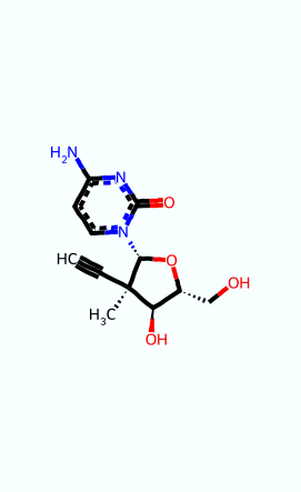 C#C[C@]1(C)[C@H](O)[C@@H](CO)O[C@H]1n1ccc(N)nc1=O